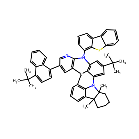 CC(C)(C)c1cc2c3c(c1)N1c4c(cccc4C4(C)CCCCC14C)B3c1cc(-c3ccc(C(C)(C)C)c4ccccc34)cnc1N2c1cccc2c1sc1ccccc12